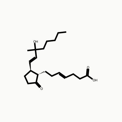 CCCCCC(C)(O)C=C[C@@H]1CCC(=O)[C@H]1CCC=CCCC(=O)O